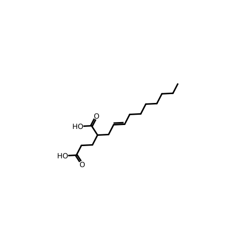 CCCCCCCC=CCC(CCC(=O)O)C(=O)O